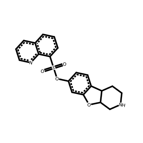 O=S(=O)(Oc1ccc2c(c1)OC1CNCCC21)c1cccc2cccnc12